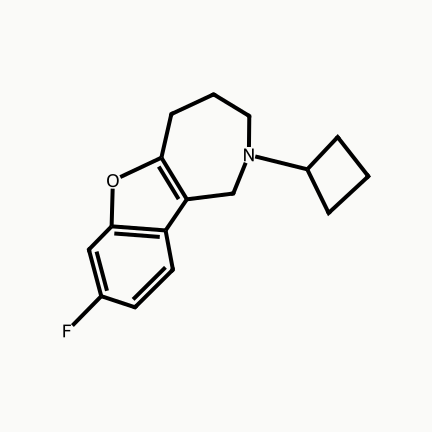 Fc1ccc2c3c(oc2c1)CCCN(C1CCC1)C3